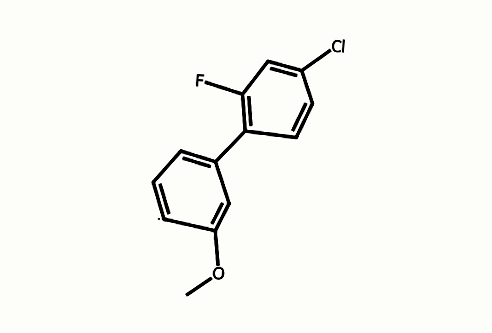 COc1[c]ccc(-c2ccc(Cl)cc2F)c1